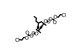 C#CC(CCC)CC(C)(C#CC(C)(C)OOOC(=O)OCCCl)OOOC(=O)OCCCl